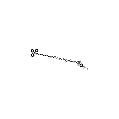 Cc1ccc(S(=O)(=O)OCCOCCOCCOCCOCCOCCOCCOCCCCCCCCCCCSC(c2ccccc2)(c2ccccc2)c2ccccc2)cc1